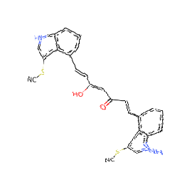 N#CSc1c[nH]c2cccc(/C=C/C(=O)/C=C(O)/C=C/c3cccc4[nH]cc(SC#N)c34)c12